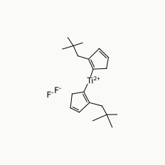 CC(C)(C)CC1=[C]([Ti+2][C]2=C(CC(C)(C)C)C=CC2)CC=C1.[F-].[F-]